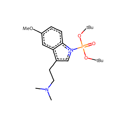 COc1ccc2c(c1)c(CCN(C)C)cn2P(=O)(OC(C)(C)C)OC(C)(C)C